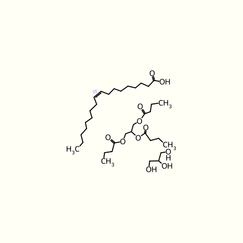 CCCC(=O)OCC(COC(=O)CCC)OC(=O)CCC.CCCCCCCC/C=C\CCCCCCCC(=O)O.OCC(O)CO